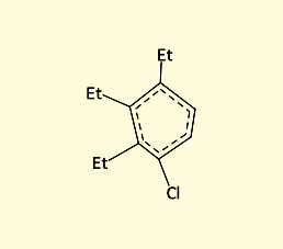 CCc1ccc(Cl)c(CC)c1CC